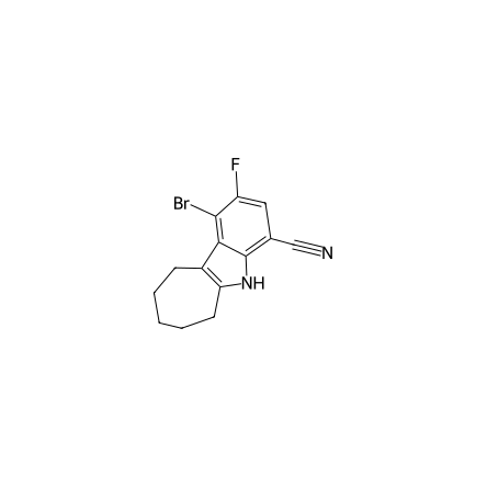 N#Cc1cc(F)c(Br)c2c3c([nH]c12)CCCCC3